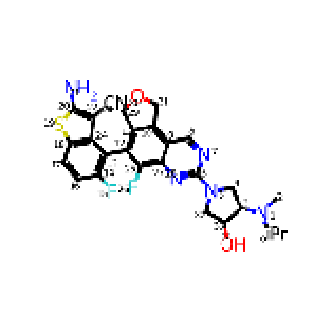 CC(C)N(C)[C@@H]1CN(c2ncc3c4c(c(-c5c(F)ccc6sc(N)c(C#N)c56)c(F)c3n2)COC4)C[C@@H]1O